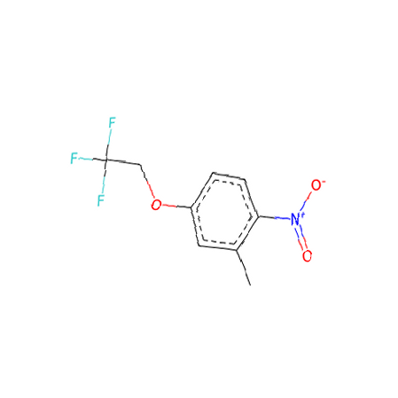 Cc1cc(OCC(F)(F)F)ccc1[N+](=O)[O-]